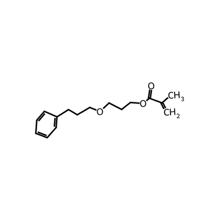 C=C(C)C(=O)OCCCOCCCc1ccccc1